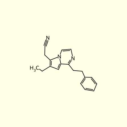 CCc1cc2c(CCc3ccccc3)nccn2c1CC#N